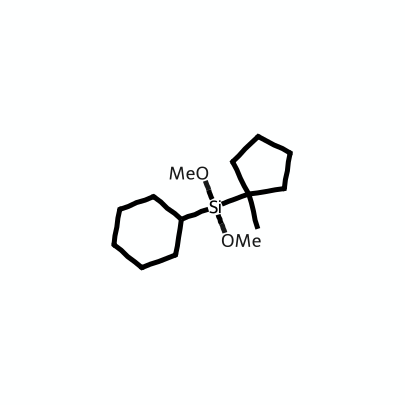 CO[Si](OC)(C1CCCCC1)C1(C)CCCC1